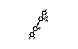 Cc1ccc(-c2ccc(C#Cc3ccc(-c4ccc(F)c(F)c4)cc3F)cc2[N+](=O)[O-])cc1